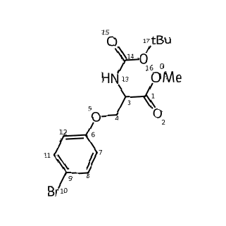 COC(=O)C(COc1ccc(Br)cc1)NC(=O)OC(C)(C)C